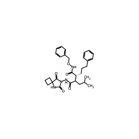 CC(C)CC(C(=O)NN1C(=O)NC2(CCC2)C1=O)[C@@H](CCCc1ccccc1)C(=O)NOCc1ccccc1